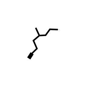 C#CCCC(C)CC[CH2]